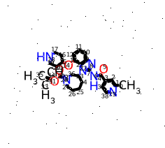 Cc1cc(C(=O)Nc2nc3cccc(OC4CCNCC4)c3n2C2CCCCN(C(=O)OC(C)(C)C)C2)ccn1